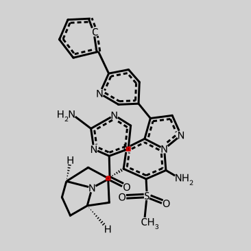 CS(=O)(=O)c1c([C@@H]2C[C@H]3CC[C@@H](C2)N3C(=O)c2ccnc(N)n2)nc2c(-c3ccc(-c4ccccc4)nc3)cnn2c1N